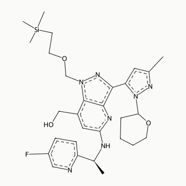 Cc1cc(-c2nn(COCC[Si](C)(C)C)c3c(CO)cc(N[C@@H](C)c4ccc(F)cn4)nc23)n(C2CCCCO2)n1